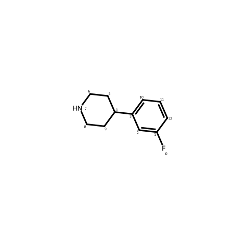 Fc1[c]c(C2CCNCC2)ccc1